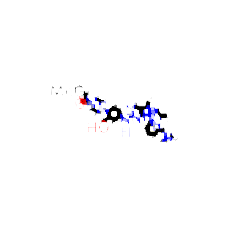 C=CCN1C(=C)c2cnc(Nc3ccc(N4CCN(C(=O)COC)CC4)c(CO)c3)nc2N1c1cccc(CN(C)C)n1